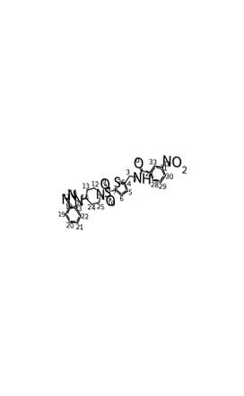 O=C(NCc1ccc(S(=O)(=O)N2CCC(n3nnc4ccccc43)CC2)s1)c1cccc([N+](=O)[O-])c1